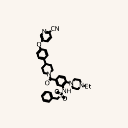 CCN1CCN(c2ccc(C(=O)N3CCC(c4ccc(Oc5ccc(C#N)nc5)cc4)CC3)cc2NS(=O)(=O)Cc2ccccc2)CC1